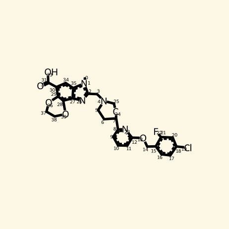 Cn1c(CN2CCC(c3cccc(OCc4ccc(Cl)cc4F)n3)CC2)nc2c3c(c(C(=O)O)cc21)OCCO3